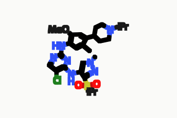 COc1cc(C2CCN(C(C)C)CC2)c(C)cc1Nc1ncc(Cl)c(Nc2cn(C)nc2S(=O)(=O)C(C)C)n1